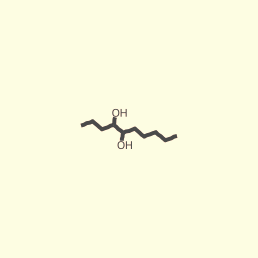 CCCCCC(O)C(O)CCC